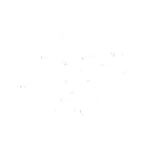 Cc1cc(C(C)Nc2ccccc2C(=O)SCc2ccccn2)c2oc(-c3ccccc3)c(C)c(=O)c2c1